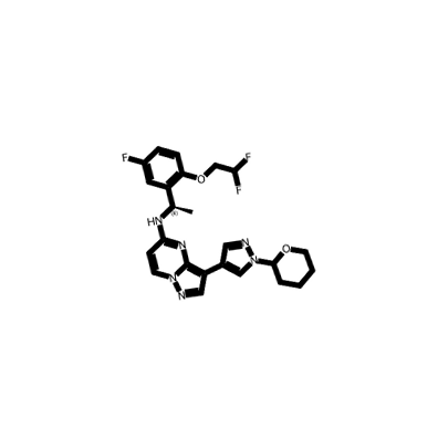 C[C@@H](Nc1ccn2ncc(-c3cnn(C4CCCCO4)c3)c2n1)c1cc(F)ccc1OCC(F)F